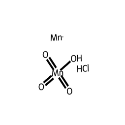 Cl.[Mn].[O]=[Mn](=[O])(=[O])[OH]